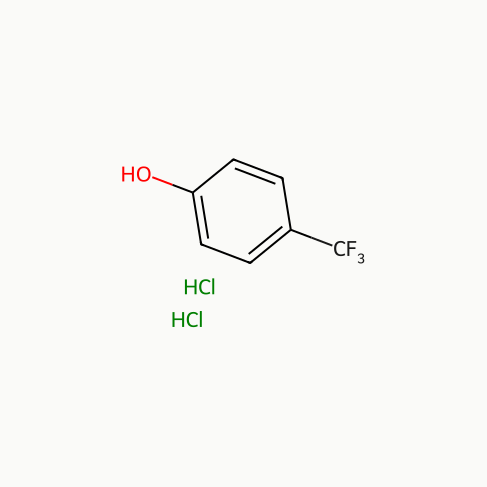 Cl.Cl.Oc1ccc(C(F)(F)F)cc1